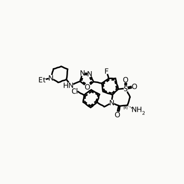 CCN1CCCC(Nc2nnc(-c3cc4c(cc3F)S(=O)(=O)C[C@H](N)C(=O)N4Cc3ccc(Cl)cc3)o2)C1